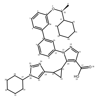 C[C@H](Oc1cccc(-c2cccc(-n3ncc(C(=O)O)c3C3CC3c3cn(C4CCCCC4)nn3)c2)c1)C1CCCCC1